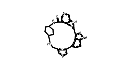 O=C1NC2CCC(CC2)NCc2cncc(c2)-c2ccc3[nH]nc(c3c2)-c2nc3c1cncc3[nH]2